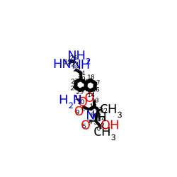 C[C@@H](O)[C@H]1C(=O)N2C(C(=O)ON)=C(COc3cccc4c(CCNC(=N)N)cccc34)[C@H](C)[C@H]12